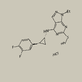 CCCSc1nc(N[C@@H]2C[C@H]2c2ccc(F)c(F)c2)c2cnn(CC)c2n1.Cl